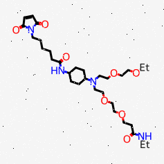 CCNC(=O)CCOCCOCCN(CCOCCOCC)C1CCC(NC(=O)CCCCCN2C(=O)C=CC2=O)CC1